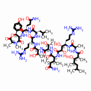 CC(C)C[C@H](NC(=O)[C@@H](CCCN=C(N)N)NC(=O)[C@H](NC(=O)[C@H](NC(=O)[C@@H](NC(=O)[C@H](O)[C@H](O)[C@H](CCCN=C(N)N)NC(=O)[C@@H](C)NC(=O)[C@H](C)[C@H](O)[C@H](C)CC(C)C)[C@@H](C)[C@@H](C)C(N)=O)[C@@H](C)O)[C@@H](C)O)C(=O)N[C@@H](CCC(N)=O)C(=O)N[C@H]1C(=O)N(C)[C@@H](C)C(=O)O[C@H]1c1ccc(O)cc1